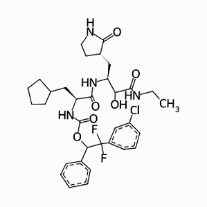 CCNC(=O)C(O)[C@H](C[C@@H]1CCNC1=O)NC(=O)[C@H](CC1CCCC1)NC(=O)OC(c1ccccc1)C(F)(F)c1cccc(Cl)c1